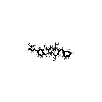 CN(c1nc2[nH]c(Cc3ccccc3)cc(=O)n2n1)c1cc(-c2ccn(C)n2)ccc1Cl